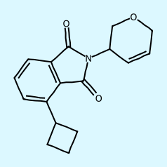 O=C1c2cccc(C3CCC3)c2C(=O)N1C1C=CCOC1